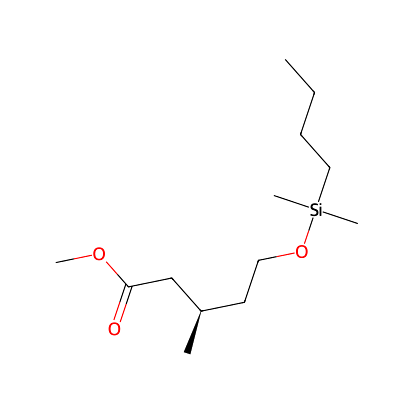 CCCC[Si](C)(C)OCC[C@@H](C)CC(=O)OC